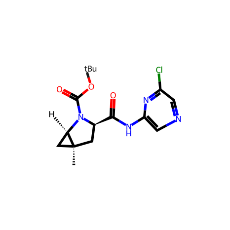 CC(C)(C)OC(=O)N1[C@@H](C(=O)Nc2cncc(Cl)n2)C[C@@]2(C)C[C@@H]12